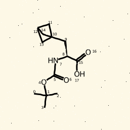 CC(C)(C)OC(=O)N[C@@H](CC12CC(C1)C2)C(=O)O